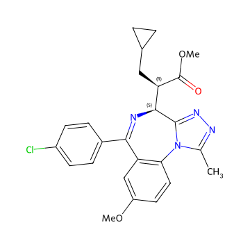 COC(=O)[C@H](CC1CC1)[C@@H]1N=C(c2ccc(Cl)cc2)c2cc(OC)ccc2-n2c(C)nnc21